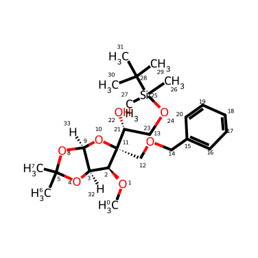 CO[C@H]1[C@H]2OC(C)(C)O[C@H]2O[C@@]1(COCc1ccccc1)[C@H](O)CO[Si](C)(C)C(C)(C)C